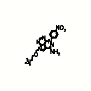 C[Si](C)(C)CCOCn1cc2c3c(ncnc31)N(c1ccc([N+](=O)[O-])cc1)N=C2N